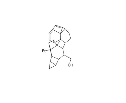 CCC12C3C4C5C=C=C6C=C7C8CCC9C(C(CO)C%10C%11CC%11C%1031)C42C59C678